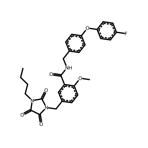 CCCCN1C(=O)C(=O)N(Cc2ccc(OC)c(C(=O)NCc3ccc(Oc4ccc(F)cc4)cc3)c2)C1=O